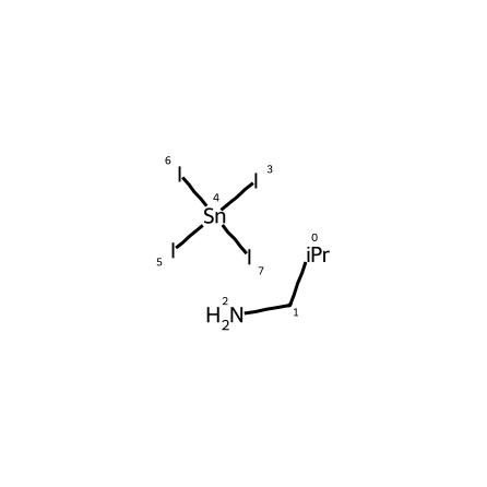 CC(C)CN.[I][Sn]([I])([I])[I]